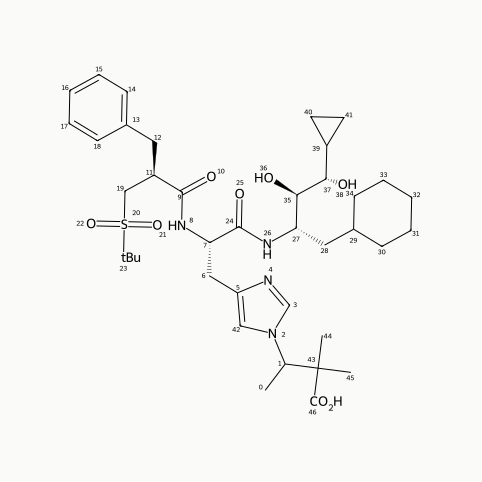 CC(n1cnc(C[C@H](NC(=O)[C@H](Cc2ccccc2)CS(=O)(=O)C(C)(C)C)C(=O)N[C@@H](CC2CCCCC2)[C@@H](O)[C@@H](O)C2CC2)c1)C(C)(C)C(=O)O